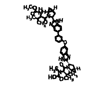 COC(=O)N[C@@H](C(=O)N1[C@@H]2C[C@@H]2C[C@H]1c1nc2cc(-c3cccc(Oc4ccc5[nH]c([C@@H]6C[C@H]7C[C@H]7N6C(=O)[C@@H](C(C)C)N(C)C(=O)O)nc5c4)c3)ccc2[nH]1)C(C)C